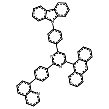 c1ccc2c(-c3cc(-c4ccc(-n5c6ccccc6c6ccccc65)cc4)nc(-c4ccc(-c5cccc6cccnc56)cc4)n3)c3ccccc3cc2c1